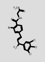 FC(F)(F)NC(=S)CNC(=S)c1ccc(/C=C/C(c2cc(Cl)c(Cl)c(Cl)c2)C(F)(F)F)cc1Br